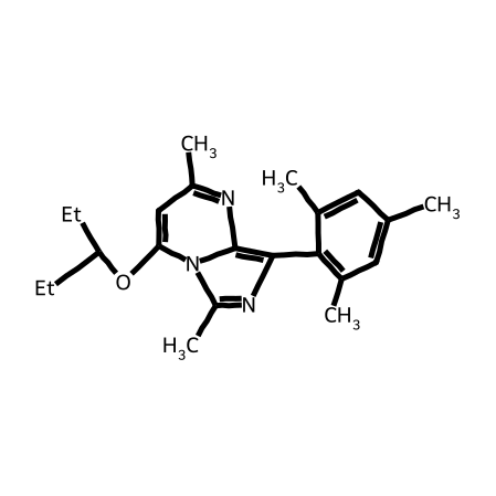 CCC(CC)Oc1cc(C)nc2c(-c3c(C)cc(C)cc3C)nc(C)n12